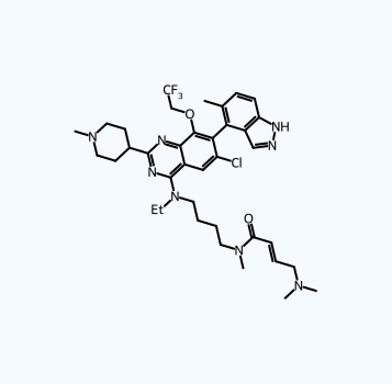 CCN(CCCCN(C)C(=O)/C=C/CN(C)C)c1nc(C2CCN(C)CC2)nc2c(OCC(F)(F)F)c(-c3c(C)ccc4[nH]ncc34)c(Cl)cc12